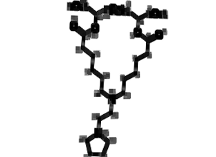 CCCCCCCCC(CCCCCCCC)OC(=O)CCCCCN(CCCCCC(=O)OC(CCCCCCCC)CCCCCCCC)CCN1CCCC1